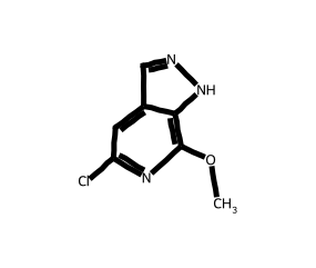 COc1nc(Cl)cc2cn[nH]c12